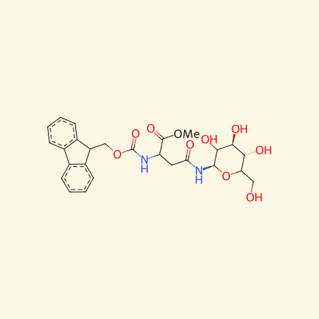 COC(=O)C(CC(=O)N[C@@H]1OC(CO)[C@@H](O)[C@H](O)C1O)NC(=O)OCC1c2ccccc2-c2ccccc21